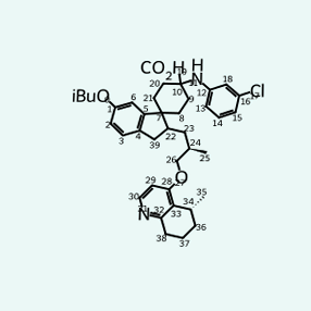 CC(C)COc1ccc2c(c1)C1(CCC(Nc3cccc(Cl)c3)(C(=O)O)CC1)C(C[C@@H](C)COc1ccnc3c1[C@H](C)CCC3)C2